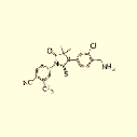 CC1(C)C(=O)N(c2ccc(C#N)c(C(F)(F)F)c2)C(=S)N1c1ccc(CN)c(Cl)c1